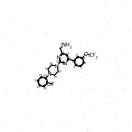 NCc1cc(-c2cccc(OC(F)(F)F)c2)nc(N2CCN(c3ccccc3F)CC2)n1